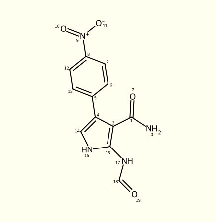 NC(=O)c1c(-c2ccc([N+](=O)[O-])cc2)c[nH]c1NC=O